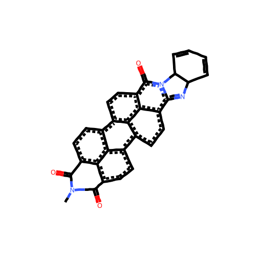 CN1C(=O)c2ccc3c4ccc5c(=O)n6c(c7ccc(c8ccc(c2c38)C1=O)c4c57)=NC1C=CC=CC16